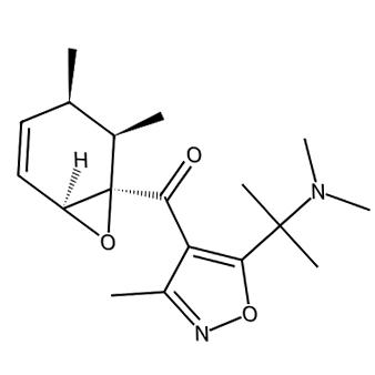 Cc1noc(C(C)(C)N(C)C)c1C(=O)[C@]12O[C@H]1C=C[C@@H](C)[C@H]2C